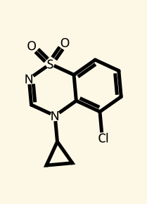 O=S1(=O)N=CN(C2CC2)c2c(Cl)cccc21